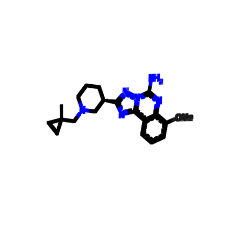 COc1cccc2c1nc(N)n1nc([C@@H]3CCCN(CC4(C)CC4)C3)nc21